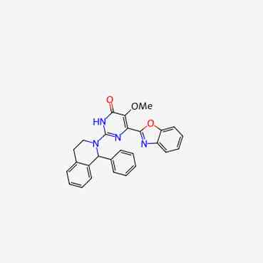 COc1c(-c2nc3ccccc3o2)nc(N2CCc3ccccc3C2c2ccccc2)[nH]c1=O